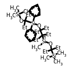 CCC(CC)(O[Si](c1ccccc1)(c1ccccc1)C(CC)(CC)O[Si](C)(C)C)C(CC)(CC)[SiH](C)OC(CC)(CC)[Si](C)(C)C